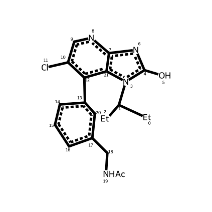 CCC(CC)n1c(O)nc2ncc(Cl)c(-c3cccc(CNC(C)=O)c3)c21